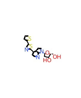 OC[C@H]1O[C@@H](n2ccc3c(-c4ncc(-c5cccs5)s4)ccnc32)C[C@@H]1O